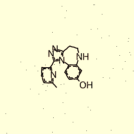 Cc1cccc(-c2nnc3n2-c2ccc(O)cc2NCC3)n1